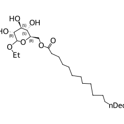 CCCCCCCCCCCCCCCCCCCCCC(=O)OC[C@H]1OC(OCC)[C@H](O)[C@@H](O)[C@@H]1O